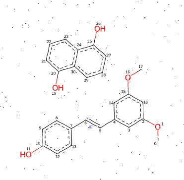 COc1cc(/C=C/c2ccc(O)cc2)cc(OC)c1.Oc1cccc2c(O)cccc12